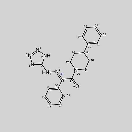 O=C(/C(=N/Nc1nnn[nH]1)c1ccccn1)N1CCC(c2ccccc2)CC1